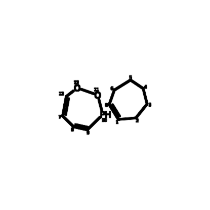 C1=CCCCCC1.c1cc[pH]ooc1